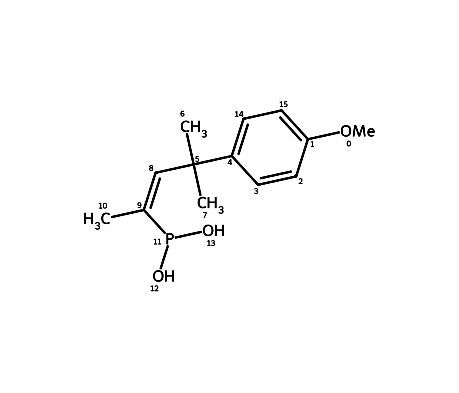 COc1ccc(C(C)(C)/C=C(/C)P(O)O)cc1